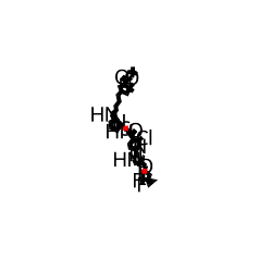 CC(C)(C)OC(=O)N1CC(CCCCNc2cccc(SNC(=O)c3ccc(N4C=C(OCCC5(C(F)(F)F)CC5)CN4)nc3Cl)n2)CC1(C)C